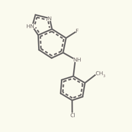 Cc1cc(Cl)ccc1Nc1ccc2[nH]cnc2c1F